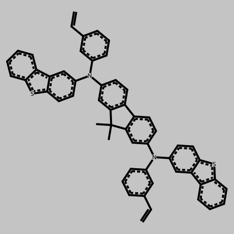 C=Cc1cccc(N(c2ccc3c(c2)C(C)(C)c2cc(N(c4cccc(C=C)c4)c4ccc5sc6ccccc6c5c4)ccc2-3)c2ccc3sc4ccccc4c3c2)c1